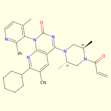 C=CC(=O)N1C[C@H](C)N(c2nc(=O)n(-c3c(C)ccnc3C(C)C)c3nc(C4CCCCC4)c(C#N)cc23)C[C@H]1C